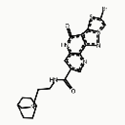 O=C(NCCN1CC2CCC1CC2)c1cnc2c(c1)[nH]c(=O)c1c2nn2cc(Br)sc12